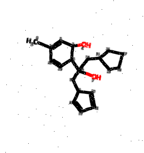 CC1=CC(O)C(C(O)(CC2C=CC=C2)CC2CCCC2)C=C1